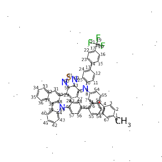 Cc1ccc(-c2ccc(N(c3ccc(-c4ccc(C(F)(F)F)cc4)cc3)c3ccc(-c4cc5ccccc5c5c6ccccc6n(-c6ccc(-c7ccccc7)cc6)c45)c4nsnc34)cc2)cc1